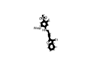 CCc1c(C#CCNc2cc(F)c(S(C)(=O)=O)cc2OC)oc2ccccc12